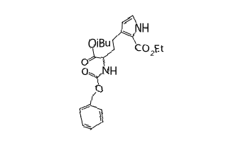 CCOC(=O)c1[nH]ccc1CCC(NC(=O)OCc1ccccc1)C(=O)OCC(C)C